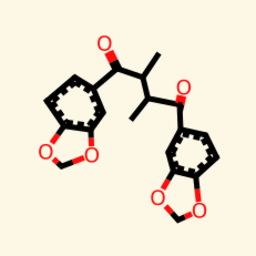 CC(C(=O)c1ccc2c(c1)OCO2)C(C)C(=O)c1ccc2c(c1)OCO2